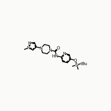 Cn1cc(N2CCN(C(=O)Nc3ccc(O[Si](C)(C)C(C)(C)C)cn3)CC2)cn1